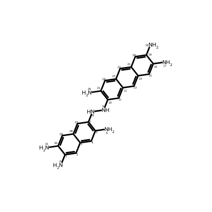 Nc1cc2cc(N)c(NNc3cc4cc5cc(N)c(N)cc5cc4cc3N)cc2cc1N